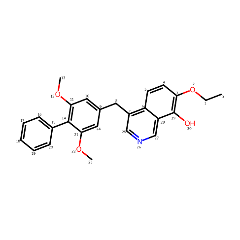 CCOc1ccc2c(Cc3cc(OC)c(-c4ccccc4)c(OC)c3)cncc2c1O